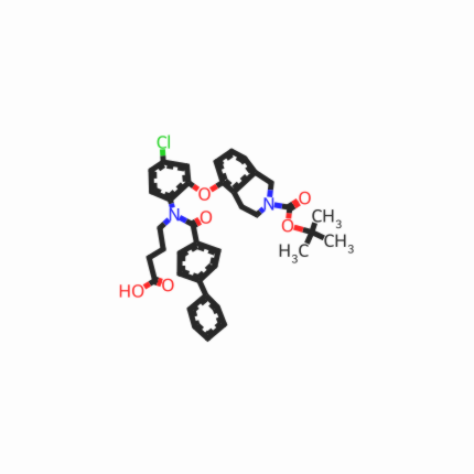 CC(C)(C)OC(=O)N1CCc2c(cccc2Oc2cc(Cl)ccc2N(CCCC(=O)O)C(=O)c2ccc(-c3ccccc3)cc2)C1